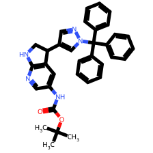 CC(C)(C)OC(=O)Nc1cnc2c(c1)C(c1cnn(C(c3ccccc3)(c3ccccc3)c3ccccc3)c1)CN2